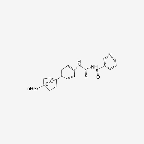 CCCCCCC12CCC(C3C=CC(NC(=S)NC(=O)c4cccnc4)=CC3)(CC1)CC2